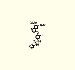 COc1cc2nccc(Oc3ccc(NC(=O)Nc4ccon4)cc3Cl)c2cc1OC